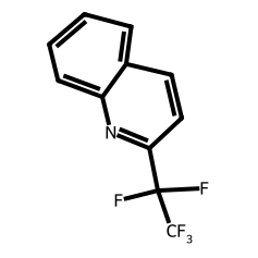 FC(F)(F)C(F)(F)c1ccc2ccccc2n1